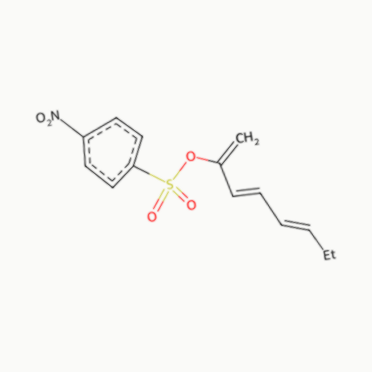 C=C(C=CC=CCC)OS(=O)(=O)c1ccc([N+](=O)[O-])cc1